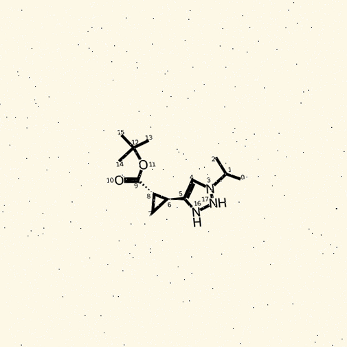 CC(C)N1C=C([C@H]2C[C@@H]2C(=O)OC(C)(C)C)NN1